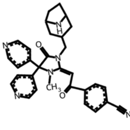 CN1C(=CC(=O)c2ccc(C#N)cc2)N(CC2CC3CCC(C2)N3)C(=O)C1(c1ccncc1)c1ccncc1